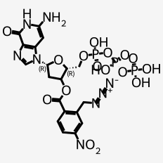 [N-]=[N+]=NCc1cc([N+](=O)[O-])ccc1C(=O)OC1C[C@H](n2cnc3c(=O)[nH]c(N)cc32)O[C@@H]1COP(=O)(O)OP(=O)(O)OP(=O)(O)O